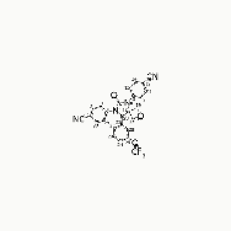 N#Cc1ccc(N2C(=O)N(c3ccc(C#N)cc3)C3(COC3)[C@H]2c2cccc(OC(F)(F)F)c2)cc1